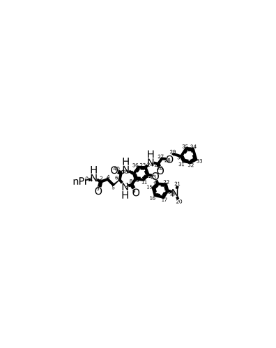 CCCNC(=O)CC[C@@H]1NC(=O)c2cc(Oc3cccc(N(C)C)c3)c(NC(=O)COCc3ccccc3)cc2NC1=O